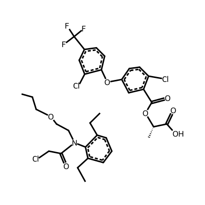 CCCOCCN(C(=O)CCl)c1c(CC)cccc1CC.C[C@H](OC(=O)c1cc(Oc2ccc(C(F)(F)F)cc2Cl)ccc1Cl)C(=O)O